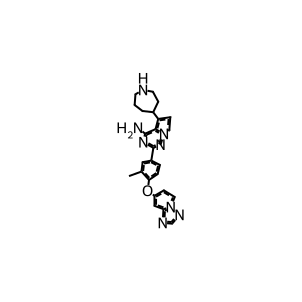 Cc1cc(-c2nc(N)c3c(C4CCCNCC4)ccn3n2)ccc1Oc1ccn2ncnc2c1